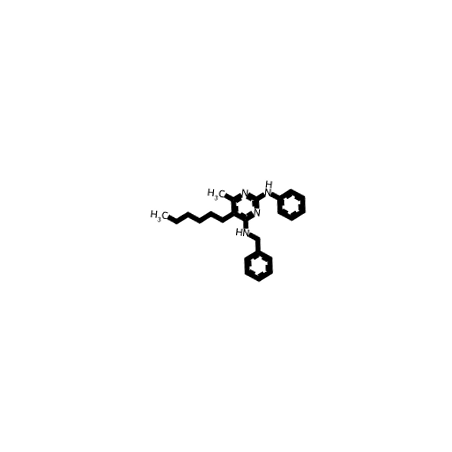 CCCCCCc1c(C)nc(Nc2ccccc2)nc1NCc1ccccc1